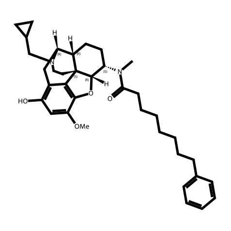 COc1cc(O)c2c3c1O[C@H]1[C@@H](N(C)C(=O)CCCCCCCc4ccccc4)CC[C@H]4[C@@H](C2)N(CC2CC2)CC[C@@]341